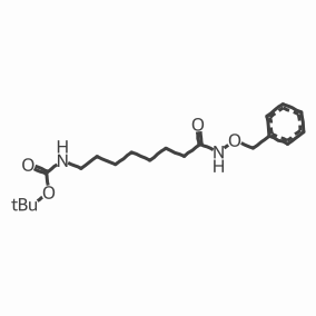 CC(C)(C)OC(=O)NCCCCCCCC(=O)NOCc1ccccc1